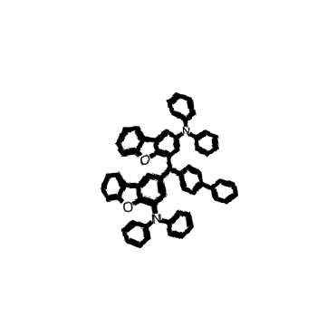 c1ccc(-c2ccc(C(c3cc(N(c4ccccc4)c4ccccc4)c4oc5ccccc5c4c3)c3cc(N(c4ccccc4)c4ccccc4)cc4c3oc3ccccc34)cc2)cc1